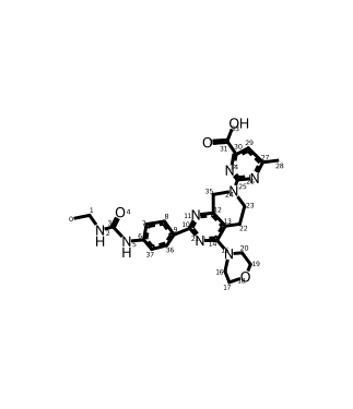 CCNC(=O)Nc1ccc(-c2nc3c(c(N4CCOCC4)n2)CCN(c2nc(C)cc(C(=O)O)n2)C3)cc1